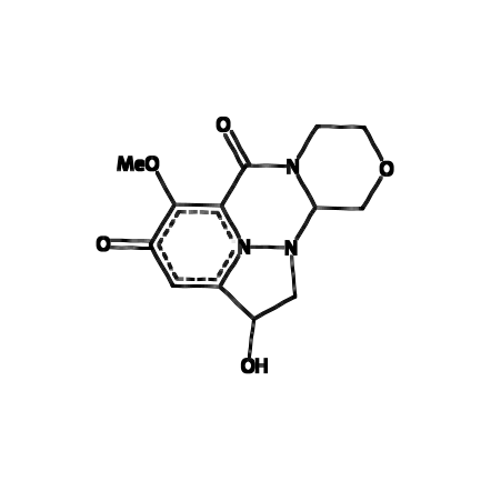 COc1c2n3c(cc1=O)C(O)CN3C1COCCN1C2=O